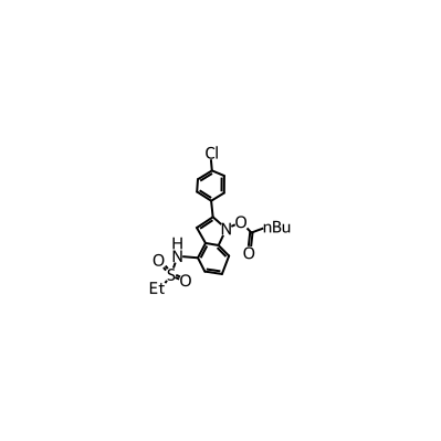 CCCCC(=O)On1c(-c2ccc(Cl)cc2)cc2c(NS(=O)(=O)CC)cccc21